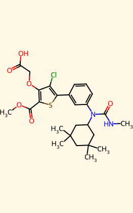 CNC(=O)N(c1cccc(-c2sc(C(=O)OC)c(OCC(=O)O)c2Cl)c1)C1CC(C)(C)CC(C)(C)C1